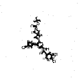 CC(C)(C)OC(=O)N1CC2(C1)CN(c1sc(NC(=O)c3cnc(Cl)c(Cl)c3)nc1-c1cc(Cl)cs1)C2